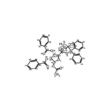 CC(=O)O[C@@H]1O[C@H]([C@@H](C)O[Si](c2ccccc2)(c2ccccc2)C(C)(C)C)[C@@H](OC(=O)c2ccccc2)[C@H]1OC(=O)c1ccccc1